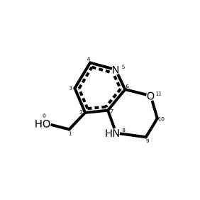 OCc1ccnc2c1NCCO2